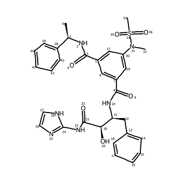 C[C@@H](NC(=O)c1cc(C(=O)N[C@@H](Cc2ccccc2)[C@@H](O)C(=O)Nc2ncc[nH]2)cc(N(C)S(C)(=O)=O)c1)c1ccccc1